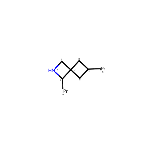 CC(C)C1CC2(CNC2C(C)C)C1